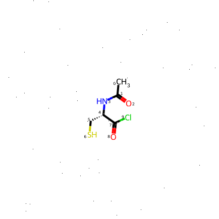 CC(=O)N[C@@H](CS)C(=O)Cl